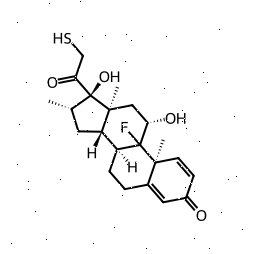 C[C@H]1C[C@H]2[C@@H]3CCC4=CC(=O)C=C[C@]4(C)C3(F)[C@@H](O)C[C@]2(C)[C@@]1(O)C(=O)CS